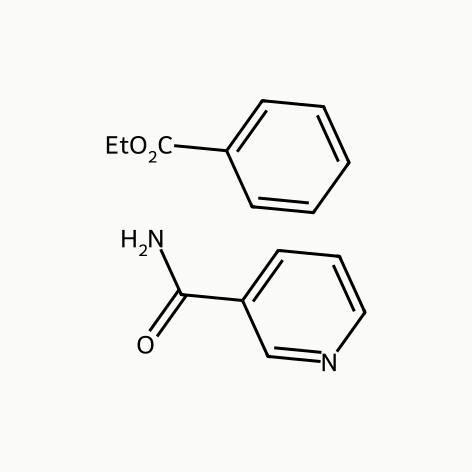 CCOC(=O)c1ccccc1.NC(=O)c1cccnc1